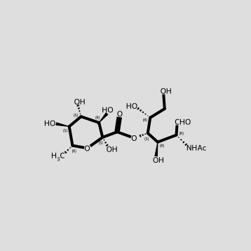 CC(=O)N[C@@H](C=O)[C@@H](O)[C@H](OC(=O)[C@@]1(O)O[C@H](C)[C@@H](O)[C@H](O)[C@H]1O)[C@H](O)CO